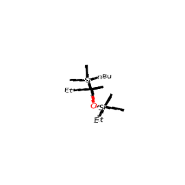 CCCC[Si](C)(C)C(C)(CC)O[Si](C)(C)CC